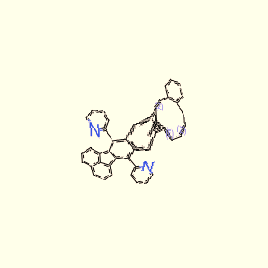 C=c1/c2c3cc4c(-c5ccccn5)c5c6cccc7cccc(c5c(-c5ccccn5)c4cc3/c1=C\C=C/Cc1ccccc1/C=2)c76